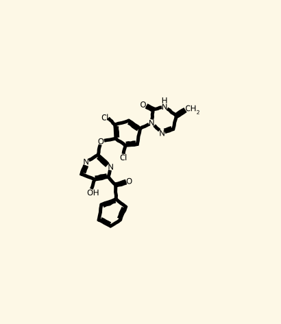 C=C1C=NN(c2cc(Cl)c(Oc3ncc(O)c(C(=O)c4ccccc4)n3)c(Cl)c2)C(=O)N1